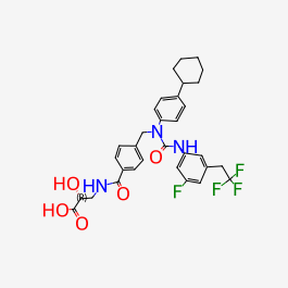 O=C(NC[C@@H](O)C(=O)O)c1ccc(CN(C(=O)Nc2cc(F)cc(CC(F)(F)F)c2)c2ccc(C3CCCCC3)cc2)cc1